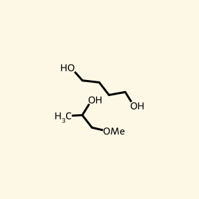 COCC(C)O.OCCCCO